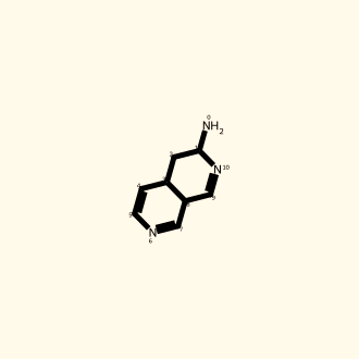 NC1CC2C=CN=CC2C=N1